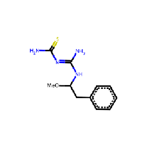 COC(Cc1ccccc1)NC(N)=NC(N)=S